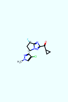 Cn1cc(Cl)c([C@@H]2C[C@@H](F)c3nc(C(=O)C4CC4)nn32)n1